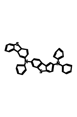 C1=CC2Sc3ccccc3C2C=C1N(c1ccccc1)c1ccc2c(c1)sc1ccc(N(c3ccccc3)c3ccccc3)cc12